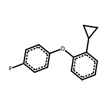 Fc1ccc(Oc2c[c]ccc2C2CC2)cc1